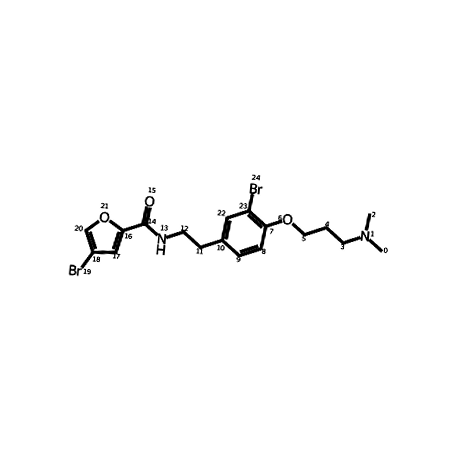 CN(C)CCCOc1ccc(CCNC(=O)c2cc(Br)co2)cc1Br